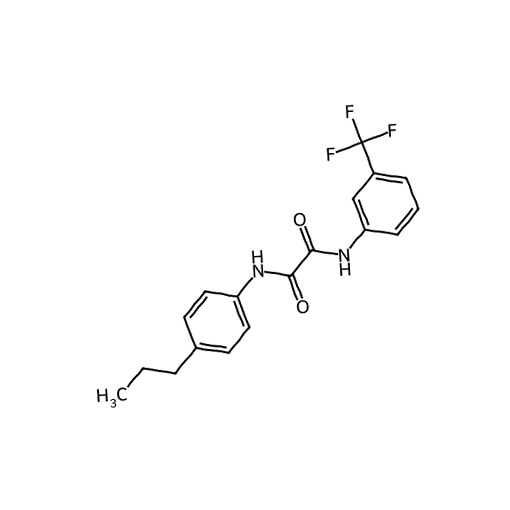 CCCc1ccc(NC(=O)C(=O)Nc2cccc(C(F)(F)F)c2)cc1